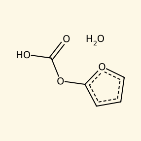 O.O=C(O)Oc1ccco1